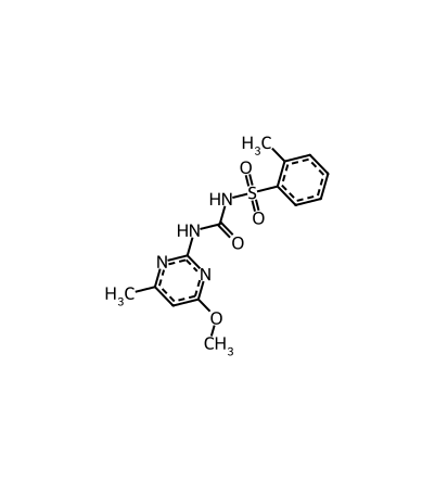 COc1cc(C)nc(NC(=O)NS(=O)(=O)c2ccccc2C)n1